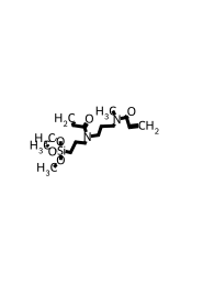 C=CC(=O)N(C)CCCN(CCC[Si](OC)(OC)OC)C(=O)C=C